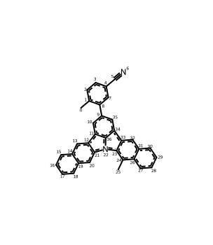 Cc1ccc(C#N)cc1-c1cc2c3cc4ccccc4cc3n3c4c(C)c5ccccc5cc4c(c1)c23